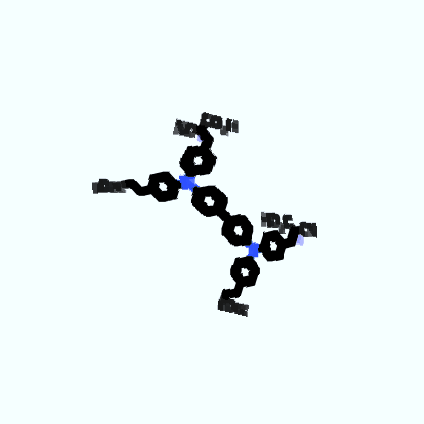 CCCCCCCCCCCCc1ccc(N(c2ccc(/C=C(/C#N)C(=O)O)cc2)c2ccc(-c3ccc(N(c4ccc(/C=C(\C#N)C(=O)O)cc4)c4ccc(CCCCCCCCCCCC)cc4)cc3)cc2)cc1